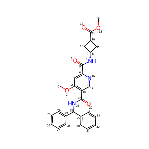 COc1cc(C(=O)N[C@H]2C[C@H](C(=O)OC)C2)ncc1C(=O)NC(c1ccccc1)c1ccccc1